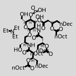 CCCCCCCCCCC[C@H](CC(=O)N[C@H](CO)CO[C@H]1O[C@H](CO)[C@@H](OP(=O)(O)O)[C@H](OC(=O)C[C@@H](CCCCCCCCCCC)OC(=O)CCCCCCCC)[C@@H]1NC(=O)C[C@@H](CCCCCCCCCCC)OC(=O)CCCCCCCC)OC(=O)CCCCCCCC.CCN(CC)CC